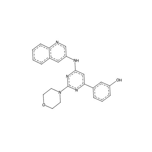 Oc1cccc(-c2cc(Nc3cnc4ccccc4c3)nc(N3CCOCC3)n2)c1